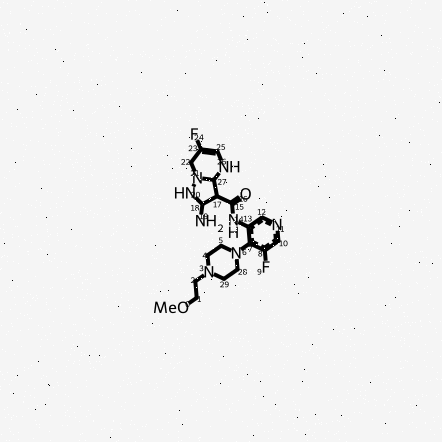 COCCN1CCN(c2c(F)cncc2NC(=O)C2C(N)NN3CC(F)=CNC23)CC1